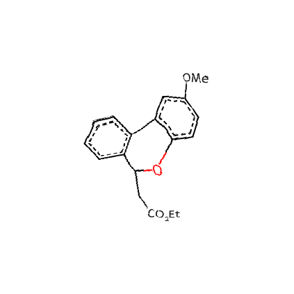 CCOC(=O)CC1Oc2ccc(OC)cc2-c2ccccc21